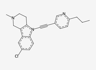 CCCc1ccc(C#Cn2c3c(c4cc(Cl)ccc42)CN(C)CC3)cn1